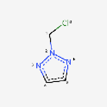 ClCn1nccn1